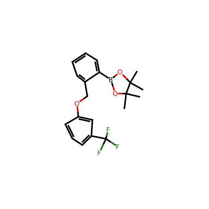 CC1(C)OB(c2ccccc2COc2cccc(C(F)(F)F)c2)OC1(C)C